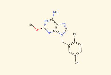 CCOc1nc(N)c2ncn(Cc3cc(C#N)ccc3CC)c2n1